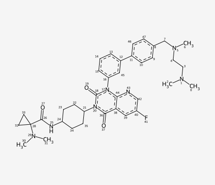 CN(C)CCN(C)Cc1ccc(-c2cccc(-n3c(=O)n(C4CCC(NC(=O)C5(N(C)C)CC5)CC4)c(=O)c4cc(F)cnc43)c2)cc1